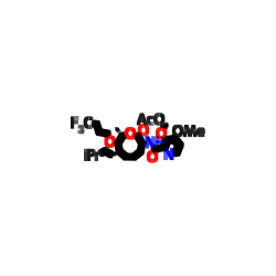 COc1ccnc(C(=O)N[C@H]2CCC[C@H](CCC(C)C)[C@@H](OCCCC(F)(F)F)[C@H](C)OC2=O)c1OCOC(C)=O